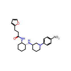 O=C(CCc1ccco1)N[C@@H]1CCCC[C@H]1NC1CCCN(c2ccc([N+](=O)[O-])cc2)C1